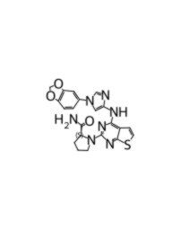 NC(=O)[C@@H]1CCCN1c1nc(Nc2cn(-c3ccc4c(c3)OCO4)cn2)c2ccsc2n1